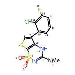 CNC1=NS(=O)(=O)c2scc(-c3cccc(F)c3Cl)c2N1